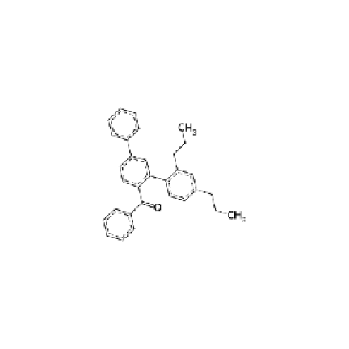 CCCc1ccc(-c2cc(-c3ccccc3)ccc2C(=O)c2ccccc2)c(CCC)c1